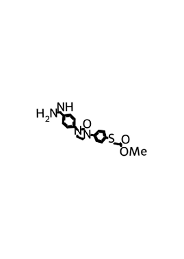 COC(=O)CSc1ccc(N2CCN(c3ccc(C(=N)N)cc3)C2=O)cc1